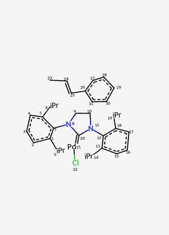 CC(C)c1cccc(C(C)C)c1N1CCN(c2c(C(C)C)cccc2C(C)C)[C]1=[Pd][Cl].CC=Cc1ccccc1